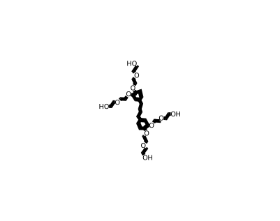 OCCOCCOc1ccc(CCCCc2ccc(OCCOCCO)c(OCCOCCO)c2)cc1OCCOCCO